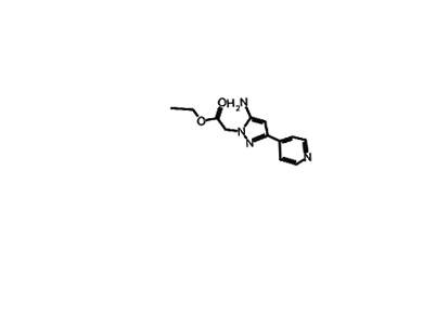 CCOC(=O)Cn1nc(-c2ccncc2)cc1N